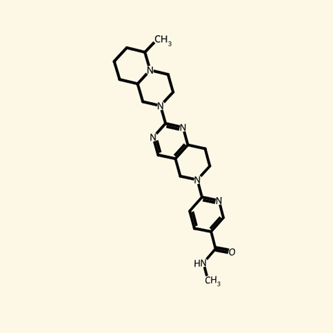 CNC(=O)c1ccc(N2CCc3nc(N4CCN5C(C)CCCC5C4)ncc3C2)nc1